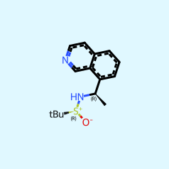 C[C@@H](N[S@@+]([O-])C(C)(C)C)c1cccc2ccncc12